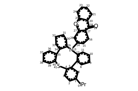 CC(C)c1ccc2c(c1)-c1ccccc1N(c1ccc3c(=O)c4ccccc4oc3c1)c1ccccc1-c1ccccc1S2